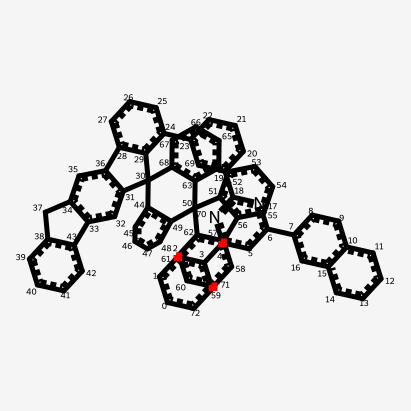 c1ccc(-c2cc(-c3ccc4ccccc4c3)nc(-c3cccc(-c4cccc5c4C4(c6cc7c(cc6-5)Cc5ccccc5-7)c5ccccc5C5(c6ccccc6-c6ccccc65)c5ccccc54)c3)n2)cc1